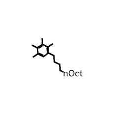 CCCCCCCCCCCCc1cc(C)c(C)c(C)c1C